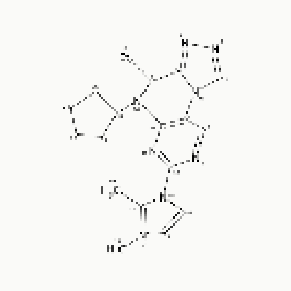 CC[C@@H]1c2nncn2-c2cnc(-n3cc[n+](C)c3C)nc2N1C1CCCC1